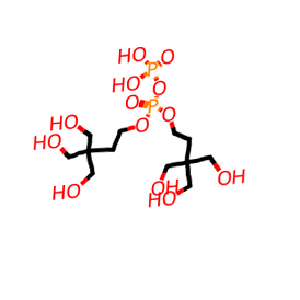 O=P(O)(O)OP(=O)(OCCC(CO)(CO)CO)OCCC(CO)(CO)CO